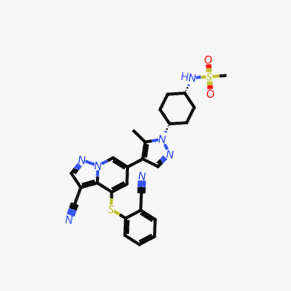 Cc1c(-c2cc(Sc3ccccc3C#N)c3c(C#N)cnn3c2)cnn1[C@H]1CC[C@@H](NS(C)(=O)=O)CC1